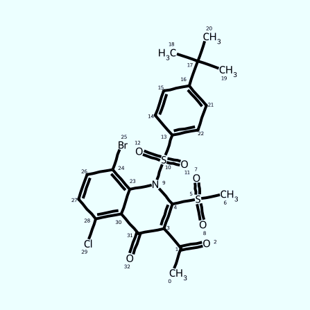 CC(=O)c1c(S(C)(=O)=O)n(S(=O)(=O)c2ccc(C(C)(C)C)cc2)c2c(Br)ccc(Cl)c2c1=O